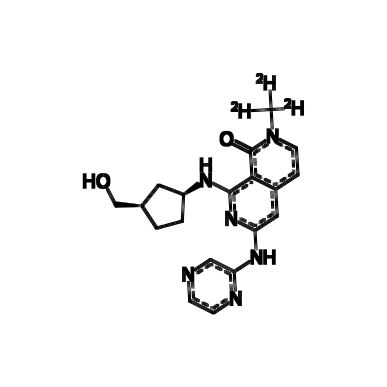 [2H]C([2H])([2H])n1ccc2cc(Nc3cnccn3)nc(N[C@H]3CC[C@@H](CO)C3)c2c1=O